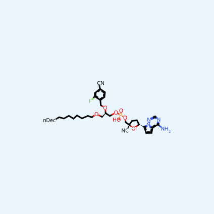 CCCCCCCCCCCCCCCCCCOC[C@H](COP(=O)(O)OC[C@]1(C#N)CC[C@H](c2ccc3c(N)ncnn23)O1)OCc1ccc(C#N)cc1F